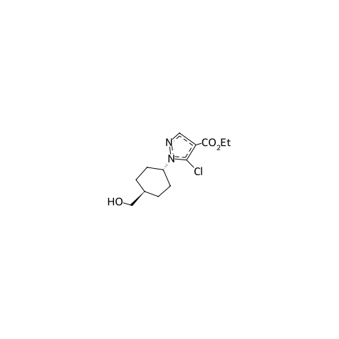 CCOC(=O)c1cnn([C@H]2CC[C@H](CO)CC2)c1Cl